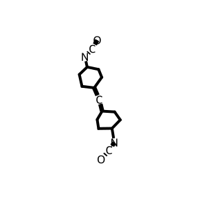 O=C=NC1CCC(=C=C2CCC(N=C=O)CC2)CC1